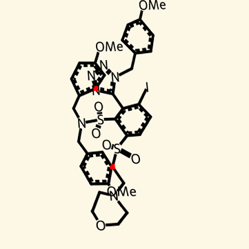 COc1ccc(CN(Cc2ccc(OC)cc2)S(=O)(=O)c2c(S(=O)(=O)CCN3CCOCC3)ccc(I)c2-c2nnnn2Cc2ccc(OC)cc2)cc1